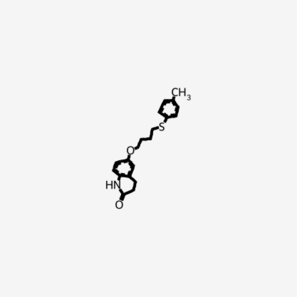 Cc1ccc(SCCCCOc2ccc3c(c2)CCC(=O)N3)cc1